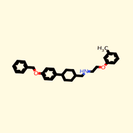 Cc1cccc(OCCNCC2CCC(c3ccc(OCc4ccccc4)cc3)CC2)c1